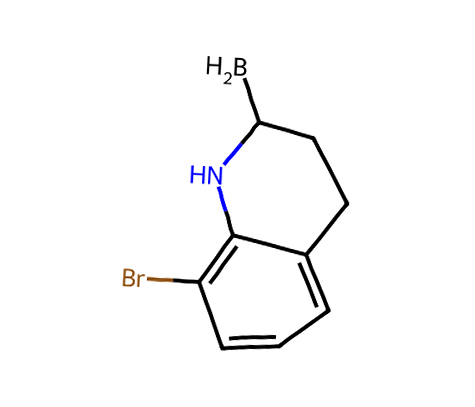 BC1CCc2cccc(Br)c2N1